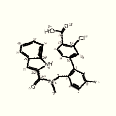 CN(Cc1ccc(F)cc1-c1ccc(C(=O)O)c(Cl)c1)C(=O)c1cc2ccccc2[nH]1